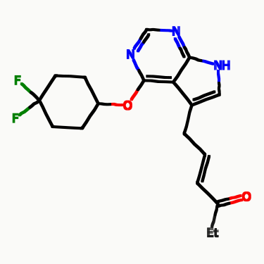 CCC(=O)C=CCc1c[nH]c2ncnc(OC3CCC(F)(F)CC3)c12